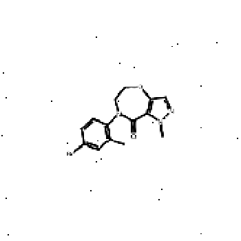 Cc1cc(Br)ccc1N1CCOc2cnn(C)c2C1=O